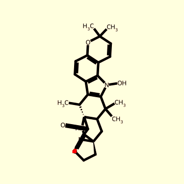 CC1c2c(n(O)c3c4c(ccc23)OC(C)(C)C=C4)C(C)(C)C2C[C@]34CCCN3C(=O)[C@]12NC4=O